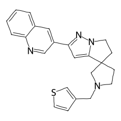 c1ccc2ncc(-c3cc4n(n3)CCC43CCN(Cc4ccsc4)C3)cc2c1